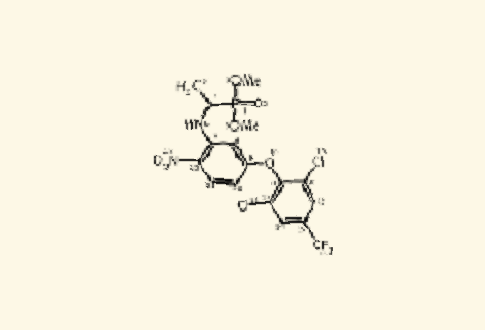 COP(=O)(OC)C(C)Nc1cc(Oc2c(Cl)cc(C(F)(F)F)cc2Cl)ccc1[N+](=O)[O-]